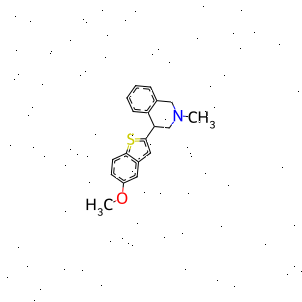 COc1ccc2sc(C3CN(C)Cc4ccccc43)cc2c1